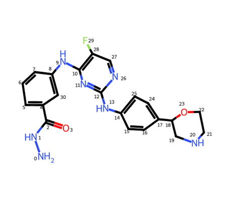 NNC(=O)c1cccc(Nc2nc(Nc3ccc(C4CNCCO4)cc3)ncc2F)c1